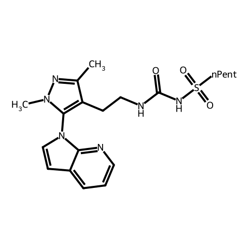 CCCCCS(=O)(=O)NC(=O)NCCc1c(C)nn(C)c1-n1ccc2cccnc21